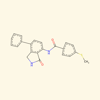 CSc1ccc(C(=O)Nc2ccc(-c3ccccc3)c3c2C(=O)NC3)cc1